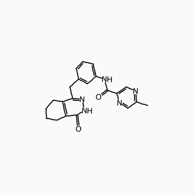 Cc1cnc(C(=O)Nc2cccc(Cc3n[nH]c(=O)c4c3CCCC4)c2)cn1